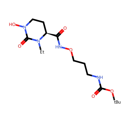 CCN1C(=O)N(O)CC[C@H]1C(=O)NOCCCNC(=O)OC(C)(C)C